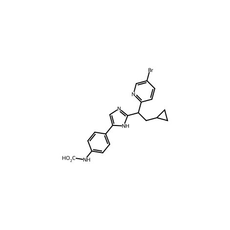 O=C(O)Nc1ccc(-c2cnc(C(CC3CC3)c3ccc(Br)cn3)[nH]2)cc1